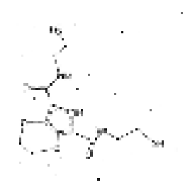 O=C(NCCS)c1[nH]c(C(=O)NCCS)c2c1OCCO2